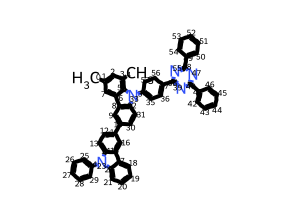 Cc1cc(C)c2c(c1)c1cc(-c3ccc4c(c3)c3ccccc3n4-c3ccccc3)ccc1n2C1=CC=C(c2nc(-c3ccccc3)nc(-c3ccccc3)n2)CC1